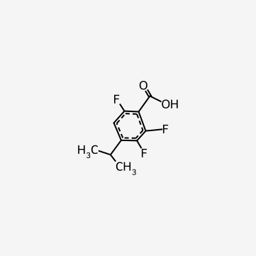 CC(C)c1cc(F)c(C(=O)O)c(F)c1F